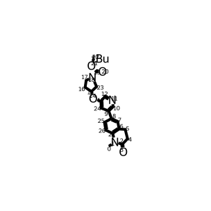 CN1C(=O)CCc2cc(-c3cncc(OC4CCN(C(=O)OC(C)(C)C)C4)c3)ccc21